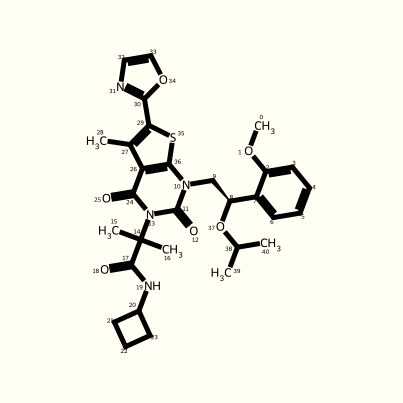 COc1ccccc1[C@H](Cn1c(=O)n(C(C)(C)C(=O)NC2CCC2)c(=O)c2c(C)c(-c3ncco3)sc21)OC(C)C